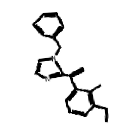 C=C(c1cccc(CC)c1C)c1nccn1Cc1ccccc1